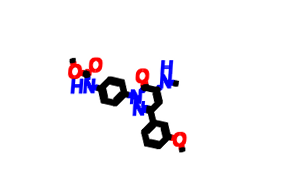 CNc1cc(-c2cccc(OC)c2)nn(-c2ccc(NC(=O)OC)cc2)c1=O